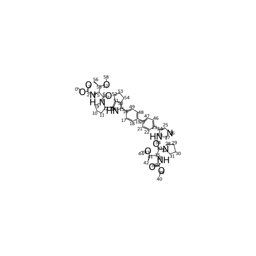 COC(=O)N[C@H](C(=O)N1CCC[C@@H]1c1[nH]c(-c2ccc(-c3ccc(-c4cnc([C@@H]5CCCN5C(=O)[C@@H](NC(=O)OC)[C@@H](C)OC)[nH]4)cc3)cc2)c2c1CCC2)[C@@H](C)OC